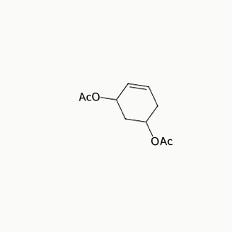 CC(=O)OC1C=CCC(OC(C)=O)C1